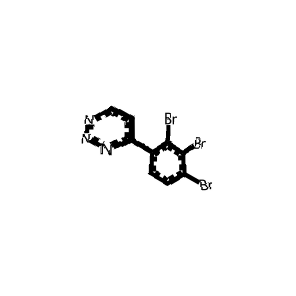 Brc1ccc(-c2ccnnn2)c(Br)c1Br